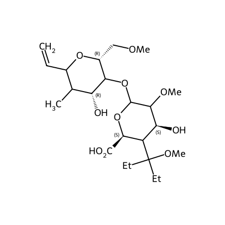 C=CC1O[C@H](COC)C(OC2O[C@H](C(=O)O)C(C(CC)(CC)OC)[C@H](O)C2OC)[C@H](O)C1C